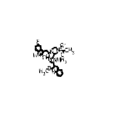 COc1nc2ccccc2cc1-c1cnc(C2CN([S+]([O-])C(C)C)CCN2C(=O)Cc2c(C)[nH]c3ccc(F)cc23)[nH]1